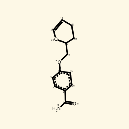 NC(=O)c1ccc(OCC2CCC=CO2)cc1